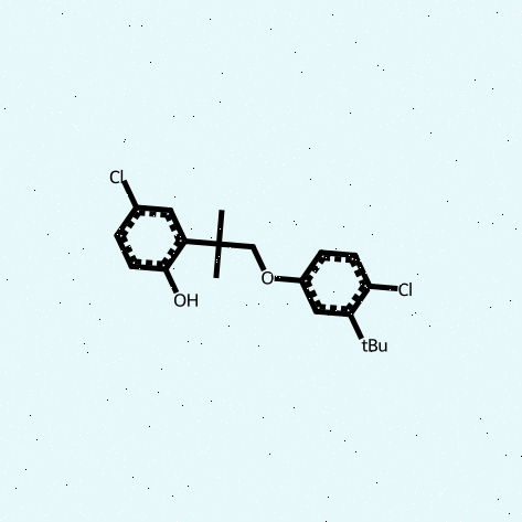 CC(C)(C)c1cc(OCC(C)(C)c2cc(Cl)ccc2O)ccc1Cl